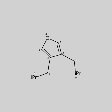 CC(C)Cc1cocc1CC(C)C